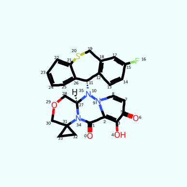 O=C1c2c(O)c(=O)ccn2N([C@H]2c3ccc(F)cc3CSc3ccccc32)[C@@H]2COCC3(CC3)N12